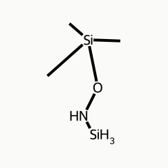 C[Si](C)(C)ON[SiH3]